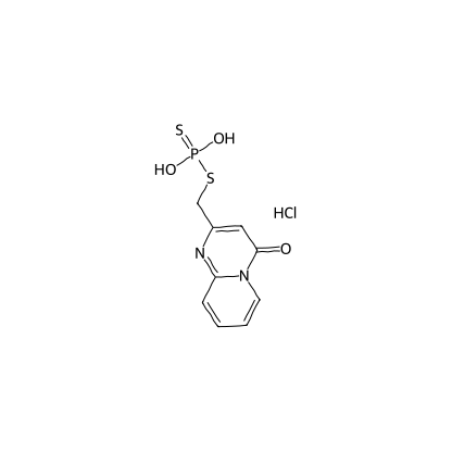 Cl.O=c1cc(CSP(O)(O)=S)nc2ccccn12